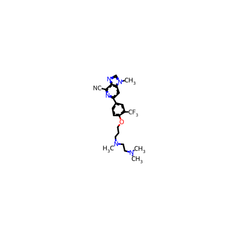 CN(C)CCN(C)CCCOc1ccc(-c2cc3c(ncn3C)c(C#N)n2)cc1C(F)(F)F